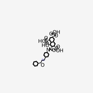 O=C(/C=C/c1ccc(N=Nc2c(S(=O)(=O)O)cc3cc(S(=O)(=O)O)cc(S(=O)(=O)O)c3c2O)cc1)c1ccccc1